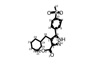 COC(=O)c1n[nH]c(-c2ccc(S(C)(=O)=O)cc2)c1CC1CCCCC1